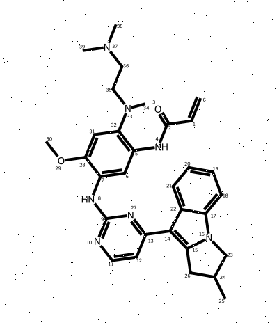 C=CC(=O)Nc1cc(Nc2nccc(-c3c4n(c5ccccc35)CC(C)C4)n2)c(OC)cc1N(C)CCN(C)C